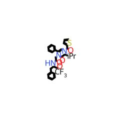 CC(C)C1C(=O)N(CC(=O)NC(Cc2ccccc2)C(=O)C(F)(F)F)C(c2ccccc2)=CN1C(=O)c1cccs1